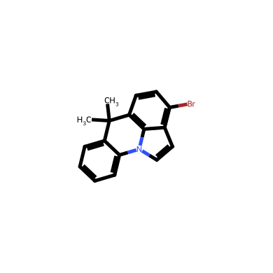 CC1(C)c2ccccc2-n2ccc3c(Br)ccc1c32